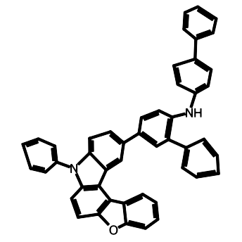 c1ccc(-c2ccc(Nc3ccc(-c4ccc5c(c4)c4c6c(ccc4n5-c4ccccc4)oc4ccccc46)cc3-c3ccccc3)cc2)cc1